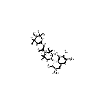 CCCCC(Cc1cc(C(C)(C)C)c(O)c(C(C)(C)C)c1)C(=O)OC1CC(C)(C)N(C(=O)OC2CC(C)(C)N(C)C(C)(C)C2)C(C)(C)C1